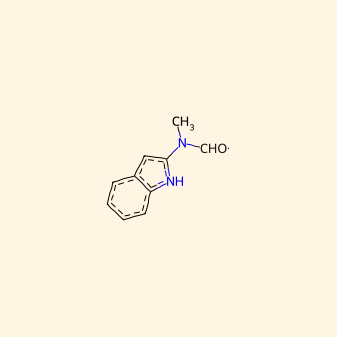 CN([C]=O)c1cc2ccccc2[nH]1